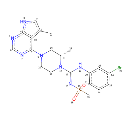 Cc1c[nH]c2ncnc(N3CCN(/C(=N/S(C)(=O)=O)Nc4cccc(Br)c4)[C@@H](C)C3)c12